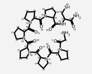 NCC(=O)N1CCCC1C(=O)N1CCCC1C(=O)N1CCCC1C(=O)N1CCCC1C(=O)N1CCCC1C(=O)N1CCCC1C(=O)NC(CS)C(N)=O